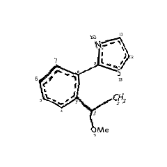 COC(C)c1ccccc1-c1nc[c]s1